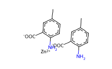 Cc1ccc(N)c(C(=O)[O-])c1.Cc1ccc(N)c(C(=O)[O-])c1.[Zn+2]